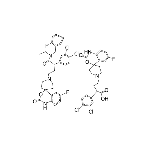 CCN(Cc1ccccc1F)C(=O)C(CCN1CCC2(CC1)OC(=O)Nc1ccc(F)cc12)c1ccc(Cl)c(Cl)c1.O=C1Nc2ccc(F)cc2C2(CCN(CCC(C(=O)O)c3ccc(Cl)c(Cl)c3)CC2)O1